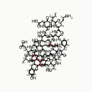 CC[C@H](C)[C@H](NC(=O)[C@H](CC(=O)O)NC(=O)[C@H](C)NC(=O)[C@@H](N)CO)C(=O)N[C@@H](CCCCN)C(=O)N[C@H](C(=O)N[C@H](C(=O)N[C@@H](CC(=O)O)C(=O)N[C@@H](Cc1ccccc1)C(=O)NCC(=O)N[C@@H](CO)C(=O)N[C@@H](C)C(=O)N[C@@H](CS)C(=O)N[C@@H](CC(C)C)C(=O)N[C@@H](CCC(=O)O)C(=O)N[C@@H](CO)C(=O)N[C@@H](CCCCN)C(=O)N[C@H](C(=O)N[C@H](C(=O)N[C@@H](Cc1ccc(O)cc1)C(=O)O)C(C)C)[C@@H](C)O)[C@@H](C)CC)C(C)C